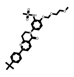 COCCOCOc1ccc(N2CCc3nc(-c4ccc(C(C)(C)C)cc4)ccc3C2=O)cc1NS(C)(=O)=O